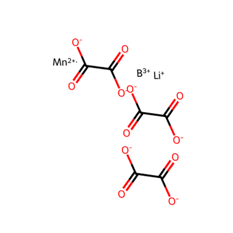 O=C([O-])C(=O)[O-].O=C([O-])C(=O)[O-].O=C([O-])C(=O)[O-].[B+3].[Li+].[Mn+2]